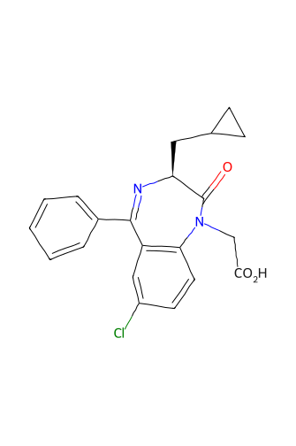 O=C(O)CN1C(=O)[C@H](CC2CC2)N=C(c2ccccc2)c2cc(Cl)ccc21